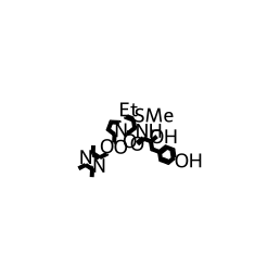 CC/C=C(\SC)C(NC(=O)C(O)Cc1ccc(O)cc1)C(=O)N1CCCC1C(=O)OCc1nc(C)c(C)nc1C